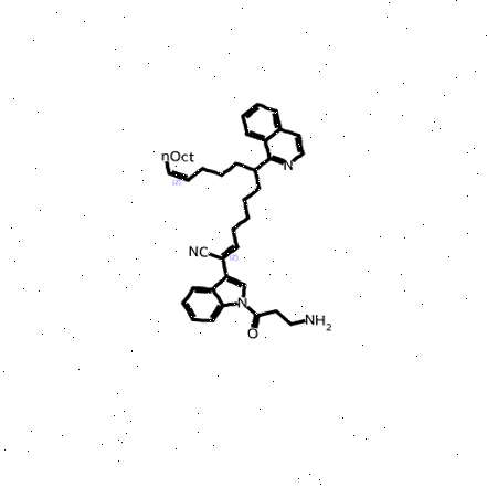 CCCCCCCC/C=C\CCCC(CCCC/C=C(\C#N)c1cn(C(=O)CCN)c2ccccc12)c1nccc2ccccc12